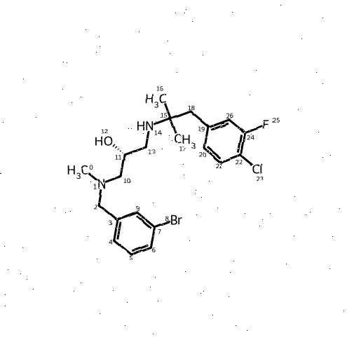 CN(Cc1cccc(Br)c1)C[C@H](O)CNC(C)(C)Cc1ccc(Cl)c(F)c1